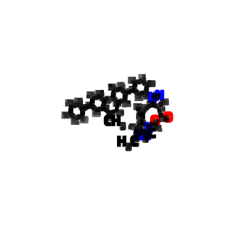 CCOC(=O)c1cnn(-c2cccc(-c3cccc(CC(C)c4cccc(-c5ccccc5)c4)c3)c2)c1C1C[C@@H]1c1cn(C)nn1